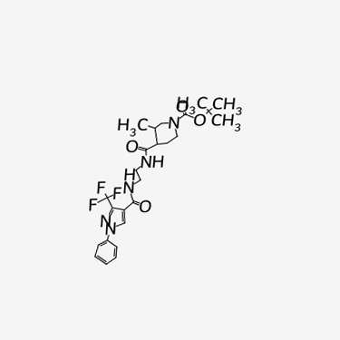 CC1CN(C(=O)OC(C)(C)C)CCC1C(=O)NCCNC(=O)c1cn(-c2ccccc2)nc1C(F)(F)F